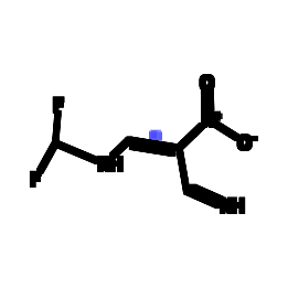 N=C/C(=C\NC(F)F)[N+](=O)[O-]